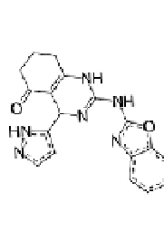 O=C1CCCC2=C1C(c1ccn[nH]1)N=C(Nc1nc3ccccc3o1)N2